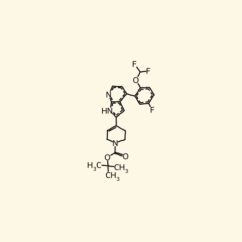 CC(C)(C)OC(=O)N1CC=C(c2cc3c(-c4cc(F)ccc4OC(F)F)ccnc3[nH]2)CC1